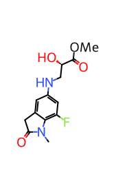 COC(=O)[C@H](O)CNc1cc(F)c2c(c1)CC(=O)N2C